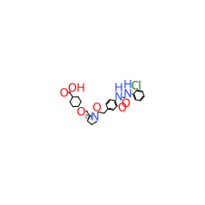 COc1cc(CC(=O)N2CCC[C@H]2COC2CCC(C(=O)O)CC2)ccc1NC(=O)Nc1ccccc1Cl